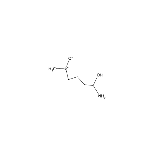 C[S+]([O-])CCCC(N)O